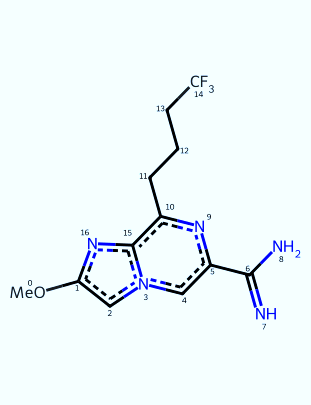 COc1cn2cc(C(=N)N)nc(CCCC(F)(F)F)c2n1